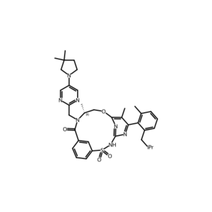 Cc1cccc(CC(C)C)c1-c1nc2nc(c1C)OC[C@@H](C)N(Cc1ncc(N3CCC(C)(C)C3)cn1)C(=O)c1cccc(c1)S(=O)(=O)N2